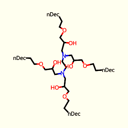 CCCCCCCCCCCCOCC(O)CN(CCN(CC(O)COCCCCCCCCCCCC)CC(O)COCCCCCCCCCCCC)CC(O)COCCCCCCCCCCCC